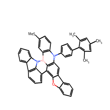 CSc1ccc2c(c1)B1c3c(cc4c(oc5ccccc54)c3-c3cccc4c5ccccc5n1c34)N2c1ccc(-c2c(C)cc(C)cc2C)cc1